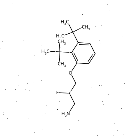 CC(C)(C)c1cccc(OCC(F)CN)c1C(C)(C)C